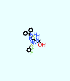 CC(C)(CO)Nc1nc(SCc2cccc(F)c2F)nc2nc(NC(C)(c3ccccc3)c3ccccc3)sc12